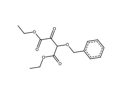 CCOC(=O)C(=O)C(OCc1ccccc1)C(=O)OCC